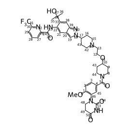 COc1ccc(C(=O)N2CCC(OCCN3CCC(n4cc5cc(NC(=O)c6cccc(C(F)(F)F)n6)c(C(C)(C)O)cc5n4)CC3)CC2)cc1N1CCC(=O)NC1=O